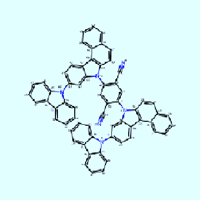 N#Cc1cc(-n2c3cc(-n4c5ccccc5c5ccccc54)ccc3c3c4ccccc4ccc32)c(C#N)cc1-n1c2cc(-n3c4ccccc4c4ccccc43)ccc2c2c3ccccc3ccc21